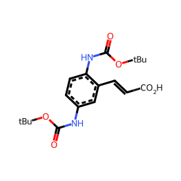 CC(C)(C)OC(=O)Nc1ccc(NC(=O)OC(C)(C)C)c(C=CC(=O)O)c1